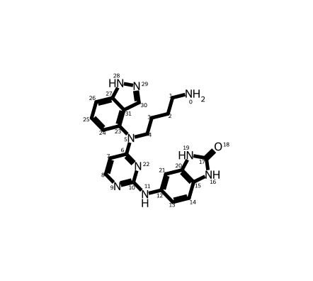 NCCCCN(c1ccnc(Nc2ccc3[nH]c(=O)[nH]c3c2)n1)c1cccc2[nH]ncc12